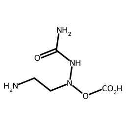 NCCN(NC(N)=O)OC(=O)O